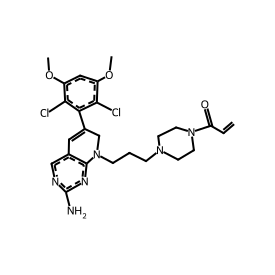 C=CC(=O)N1CCN(CCCN2CC(c3c(Cl)c(OC)cc(OC)c3Cl)=Cc3cnc(N)nc32)CC1